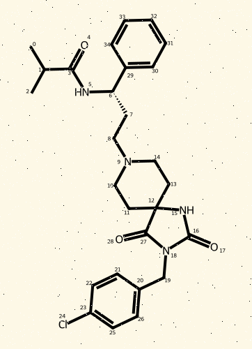 CC(C)C(=O)N[C@@H](CCN1CCC2(CC1)NC(=O)N(Cc1ccc(Cl)cc1)C2=O)c1ccccc1